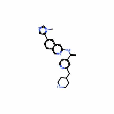 C=C(Nc1cc2cc(-c3cncn3C)ccc2cn1)c1ccnc(CC2CCNCC2)c1